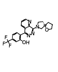 Oc1cc(C(F)(F)F)ccc1-c1nnc(N2CC[C@@]3(CCCO3)C2)c2ncccc12